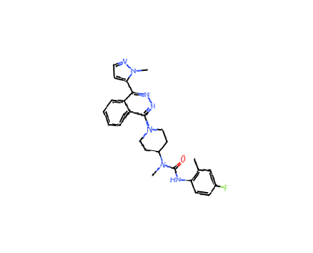 Cc1cc(F)ccc1NC(=O)N(C)C1CCN(c2nnc(-c3ccnn3C)c3ccccc23)CC1